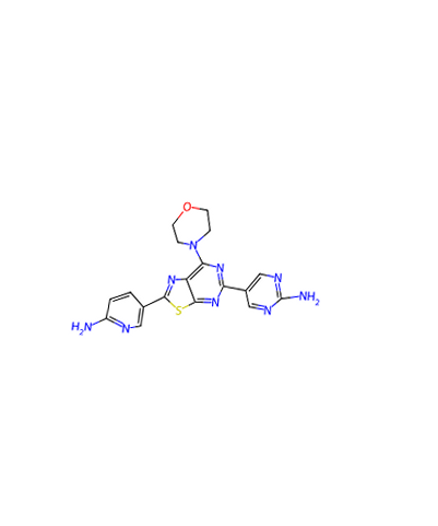 Nc1ccc(-c2nc3c(N4CCOCC4)nc(-c4cnc(N)nc4)nc3s2)cn1